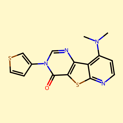 CN(C)c1ccnc2sc3c(=O)n(-c4ccsc4)cnc3c12